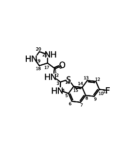 O=C(NC1Nc2ccc3cc(F)ccc3c2S1)C1CNCN1